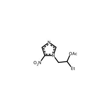 CCC(Cn1cncc1[N+](=O)[O-])OC(C)=O